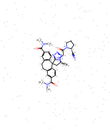 C[C@@H](CC1(c2nnnn2C)c2ccc(C(=O)N(C)C)cc2CCc2cc(C(=O)N(C)C)ccc21)NCC(=O)N1CCC[C@H]1C#N